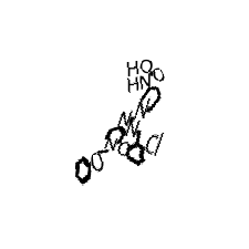 O=C(O)N[C@@H]1CCCN(c2nc3ccn(CCOc4ccccc4)c(=O)c3n2Cc2ccccc2Cl)C1